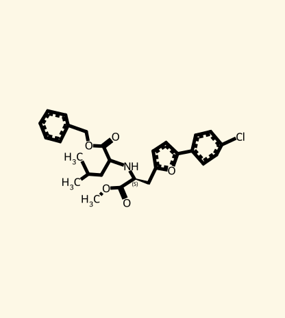 COC(=O)[C@H](Cc1ccc(-c2ccc(Cl)cc2)o1)NC(CC(C)C)C(=O)OCc1ccccc1